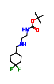 CC(C)(C)OC(=O)NCCNCC1CCC(F)(F)CC1